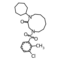 Cc1c(Cl)cccc1S(=O)(=O)N1CCCCCCN(C2CCCCCC2)C(=O)C1